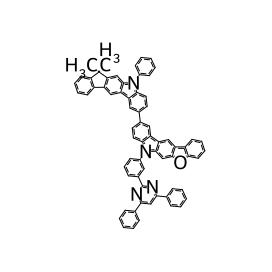 CC1(C)c2ccccc2-c2cc3c4cc(-c5ccc6c(c5)c5cc7c(cc5n6-c5cccc(-c6nc(-c8ccccc8)cc(-c8ccccc8)n6)c5)oc5ccccc57)ccc4n(-c4ccccc4)c3cc21